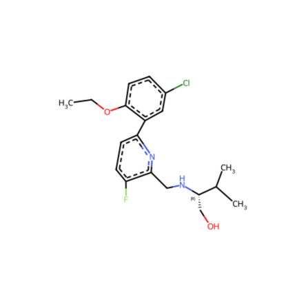 CCOc1ccc(Cl)cc1-c1ccc(F)c(CN[C@@H](CO)C(C)C)n1